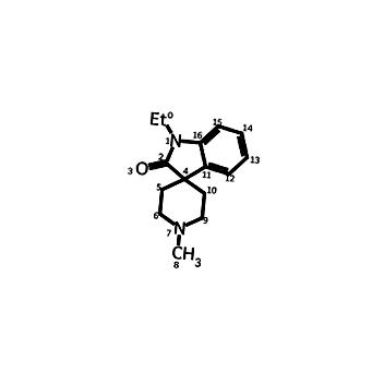 CCN1C(=O)C2(CCN(C)CC2)c2ccccc21